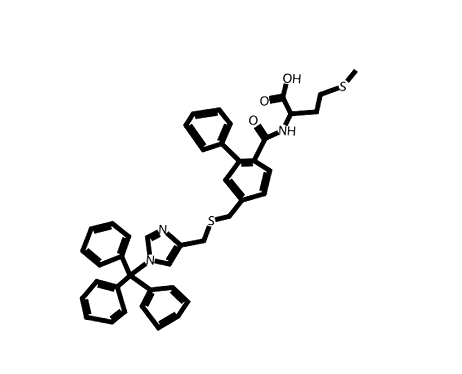 CSCCC(NC(=O)c1ccc(CSCc2cn(C(c3ccccc3)(c3ccccc3)c3ccccc3)cn2)cc1-c1ccccc1)C(=O)O